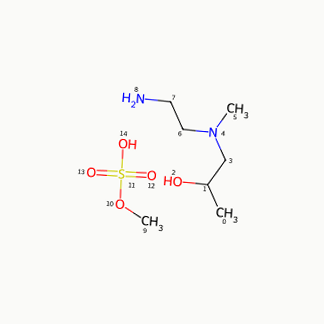 CC(O)CN(C)CCN.COS(=O)(=O)O